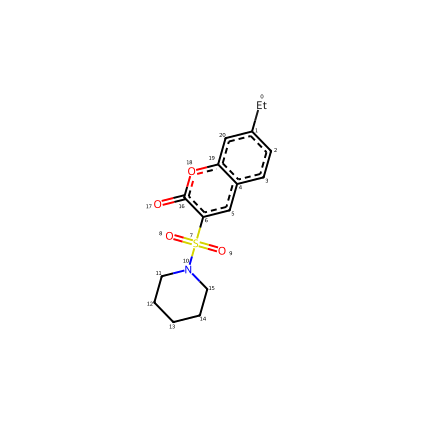 CCc1ccc2cc(S(=O)(=O)N3CCCCC3)c(=O)oc2c1